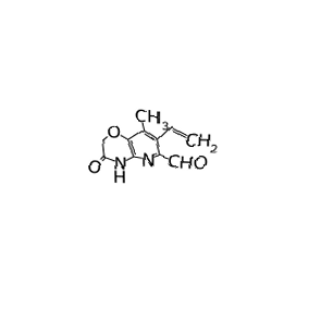 C=Cc1c(C=O)nc2c(c1C)OCC(=O)N2